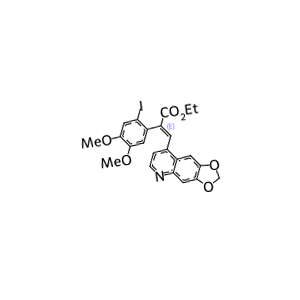 CCOC(=O)/C(=C/c1ccnc2cc3c(cc12)OCO3)c1cc(OC)c(OC)cc1I